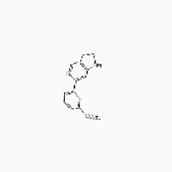 CCOC(=O)c1cccc(-c2cc3c(cn2)CCN3)c1